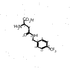 NC(CC(=O)NCc1ccc(C(F)(F)F)cc1)C(=O)O